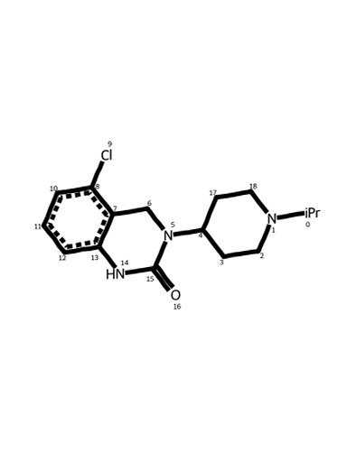 CC(C)N1CCC(N2Cc3c(Cl)cccc3NC2=O)CC1